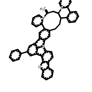 C=C1CC2C(CCc3cc4c(cc3-c3cccc[n+]31)c1cc(-c3ccccc3)cc3c5c6oc7ccccc7c6ccc5n4c13)c1ccccc1-c1cccc[n+]12